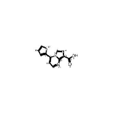 O=C(O)c1ncn2c(-c3cccs3)ccnc12